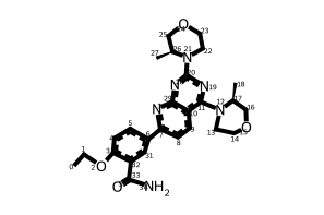 CCOc1ccc(-c2ccc3c(N4CCOC[C@@H]4C)nc(N4CCOC[C@@H]4C)nc3n2)cc1C(N)=O